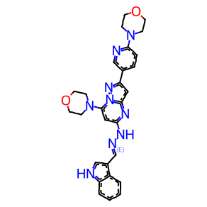 C(=N\Nc1cc(N2CCOCC2)n2nc(-c3ccc(N4CCOCC4)nc3)cc2n1)/c1c[nH]c2ccccc12